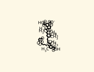 Cc1cc(S(=O)(=O)O)cc2c1N(CCCC(=O)ON1C(=O)CCC1=O)/C(=C/C=C/C1=CC(=C/C3=[N+](C)c4ccc5c(S(=O)(=O)[O-])cc(S(=O)(=O)O)cc5c4C3(C)C)/CC(C)(C)C1)C2(C)C